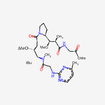 CC[C@H](C)[C@@H]([C@@H](CC(=O)N1CCC[C@H]1[C@H](OC)[C@@H](C)C(=O)NCC(=O)OC)OC)N(C)C(=O)CNc1nccc(C)n1